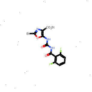 CCOC(=O)c1nc(CC)oc1NC(=O)NC(=O)c1c(F)cccc1F